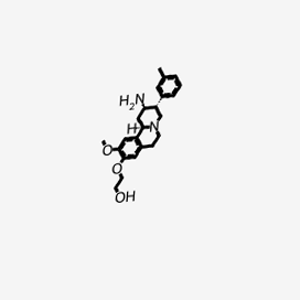 COc1cc2c(cc1OCCO)CCN1C[C@@H](c3cccc(C)c3)[C@H](N)C[C@H]21